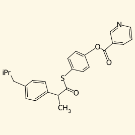 CC(C)Cc1ccc(C(C)C(=O)Sc2ccc(OC(=O)c3cccnc3)cc2)cc1